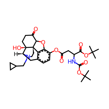 CC(C)(C)OC(=O)NC(CC(=O)Oc1ccc2c3c1OC1C(=O)CC[C@@]4(O)[C@@H](C2)N(CC2CC2)CC[C@]314)C(=O)OC(C)(C)C